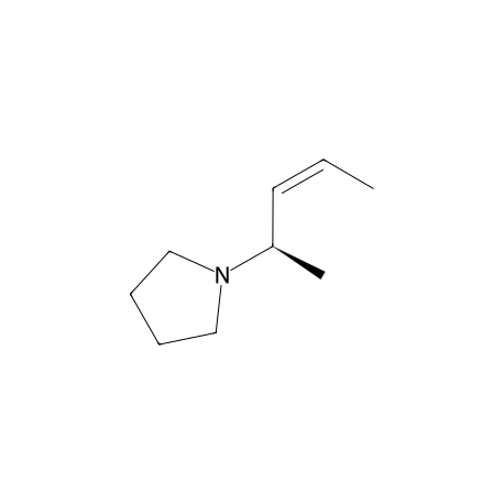 C/C=C\[C@@H](C)N1CCCC1